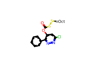 CCCCCCCCSSC(=O)Oc1cc(Cl)nnc1-c1ccccc1